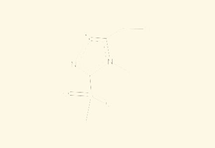 Cn1c(C[O])nnc1S(C)(=O)=O